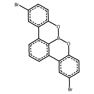 Brc1ccc2c(c1)-c1cccc3c1B(O2)Oc1ccc(Br)cc1-3